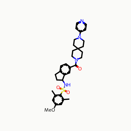 COc1cc(C)c(S(=O)(=O)NC2CCc3ccc(C(=O)N4CCC5(CC4)CCN(c4ccncc4)CC5)cc32)c(C)c1